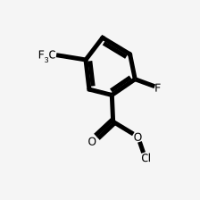 O=C(OCl)c1cc(C(F)(F)F)ccc1F